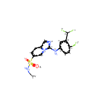 CC(C)NS(=O)(=O)c1ccc2cnc(Nc3ccc(F)c(C(F)F)c3)n2c1